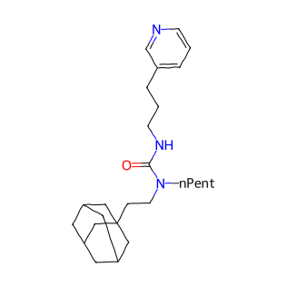 CCCCCN(CCC12CC3CC(CC(C3)C1)C2)C(=O)NCCCc1cccnc1